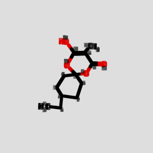 CCC1CCC2(CC1)OC(=O)C(C)=C(O)O2